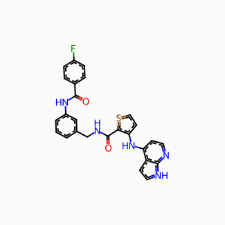 O=C(Nc1cccc(CNC(=O)c2sccc2Nc2ccnc3[nH]ccc23)c1)c1ccc(F)cc1